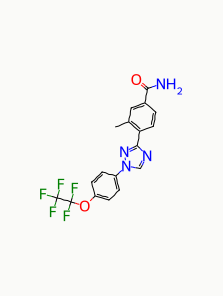 Cc1cc(C(N)=O)ccc1-c1ncn(-c2ccc(OC(F)(F)C(F)(F)F)cc2)n1